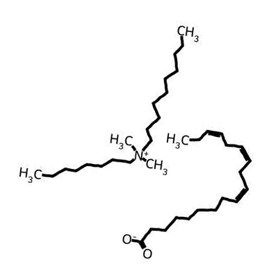 CC/C=C\C/C=C\C/C=C\CCCCCCCC(=O)[O-].CCCCCCCCCC[N+](C)(C)CCCCCCCC